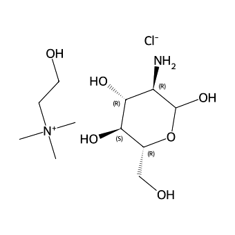 C[N+](C)(C)CCO.N[C@H]1C(O)O[C@H](CO)[C@@H](O)[C@@H]1O.[Cl-]